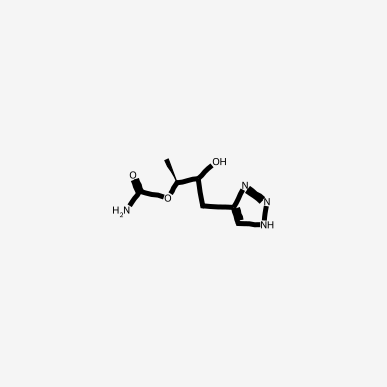 C[C@H](OC(N)=O)C(O)Cc1c[nH]nn1